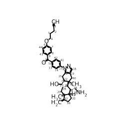 C#CCCCOc1ccc(C(=O)c2ccc(-n3ncc4c3C[C@H](CO)[C@@](C)([C@H]3CC[C@]5(C)C(=C)CC[C@H]5[C@H]3CN)C4)cc2)cc1